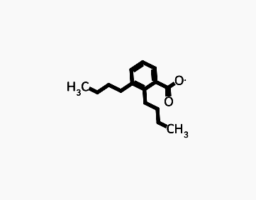 CCCCc1cccc(C([O])=O)c1CCCC